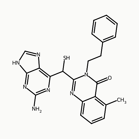 Cc1cccc2nc(C(S)c3nc(N)nc4[nH]cnc34)n(CCc3ccccc3)c(=O)c12